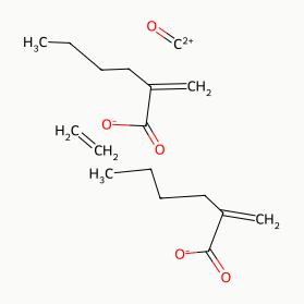 C=C.C=C(CCCC)C(=O)[O-].C=C(CCCC)C(=O)[O-].[C+2]=O